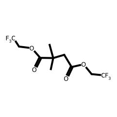 CC(C)(CC(=O)OCC(F)(F)F)C(=O)OCC(F)(F)F